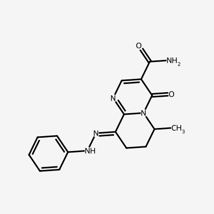 CC1CC/C(=N\Nc2ccccc2)c2ncc(C(N)=O)c(=O)n21